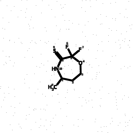 CC1CCOC(F)(F)C(=S)N1